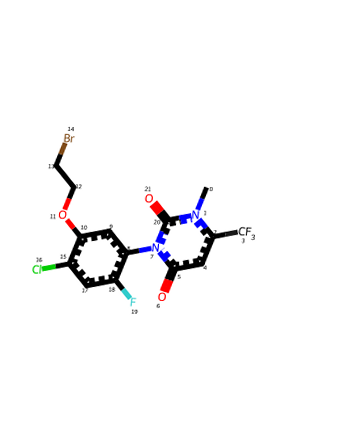 Cn1c(C(F)(F)F)cc(=O)n(-c2cc(OCCBr)c(Cl)cc2F)c1=O